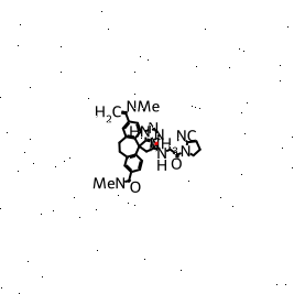 C=C(NC)c1ccc2c(c1)CCc1cc(C(=O)NC)ccc1C2(C[C@@H](C)NCC(=O)N1CCCC1C#N)c1nnn[nH]1